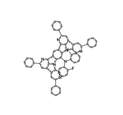 Fc1ccccc1N(c1ccccc1F)c1c2c(cc3c4nc(-c5ccccc5)cc5c6cc(-c7ccccc7)ncc6n(c13)c54)c1nc(-c3ccccc3)cc3c4cc(-c5ccccc5)ncc4n2c31